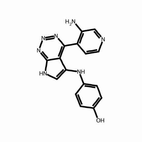 Nc1cnccc1-c1nnnc2[nH]cc(Nc3ccc(O)cc3)c12